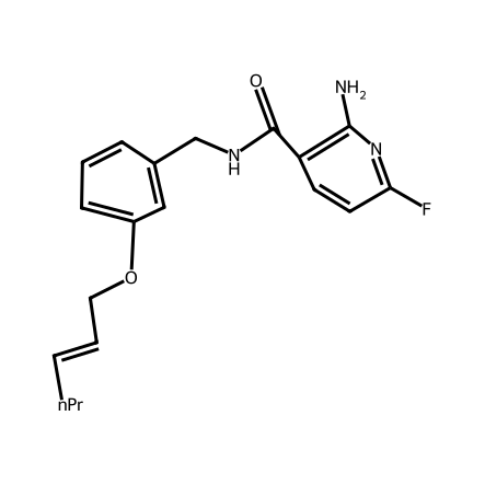 CCCC=CCOc1cccc(CNC(=O)c2ccc(F)nc2N)c1